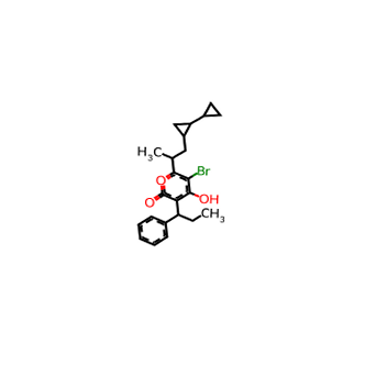 CCC(c1ccccc1)c1c(O)c(Br)c(C(C)CC2CC2C2CC2)oc1=O